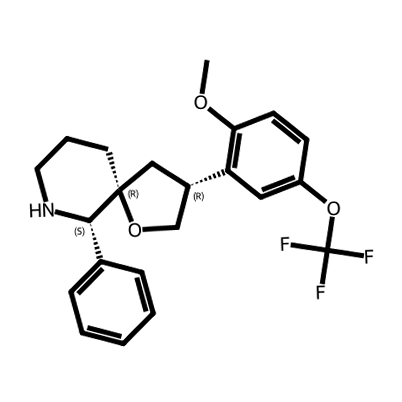 COc1ccc(OC(F)(F)F)cc1[C@@H]1CO[C@]2(CCCN[C@H]2c2ccccc2)C1